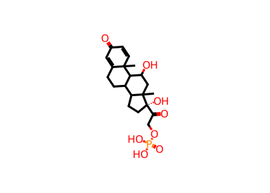 CC12C=CC(=O)C=C1CCC1C2C(O)CC2(C)C1CC[C@]2(O)C(=O)COP(=O)(O)O